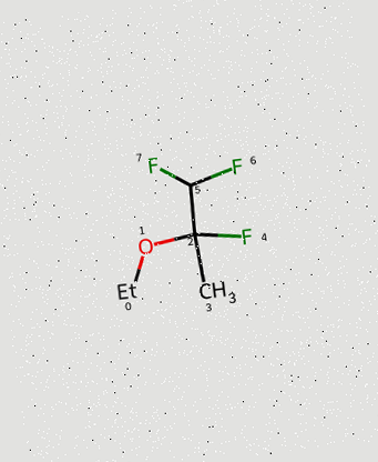 CCOC(C)(F)C(F)F